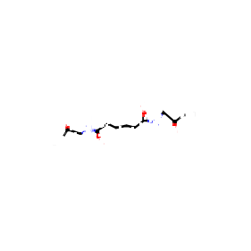 CCC(=O)CNC(=O)CCCCC(=O)NCC(=O)C(C)C